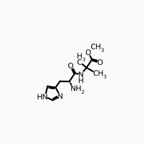 COC(=O)C(C)(C)NC(=O)[C@@H](N)Cc1c[nH]cn1